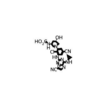 N#Cc1cc(Nc2nc(NC3CC3)c3ncc(C#N)n3n2)c(Cl)c(N2C[C@@H](O)C[C@H](NC(=O)O)C2)c1